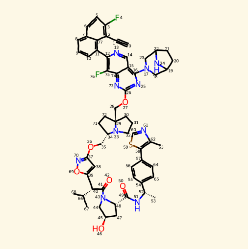 C#Cc1c(F)ccc2cccc(-c3ncc4c(N5CC6CCC(C5)N6)nc(OC[C@@]56CCCN5[C@H](COc5cc([C@H](C(=O)N7C[C@H](O)C[C@H]7C(=O)N[C@@H](C)c7ccc(-c8scnc8C)cc7)C(C)C)on5)CC6)nc4c3F)c12